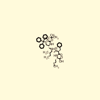 CC[C@H](C)[C@@H](CN[C@@H](Cc1ccccc1)C(=O)N[C@@H](CCSC)C(=O)O)NC[C@H](CSC(c1ccccc1)(c1ccccc1)c1ccccc1)NC(=O)OC(C)(C)C